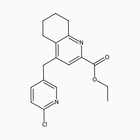 CCOC(=O)c1cc(Cc2ccc(Cl)nc2)c2c(n1)CCCC2